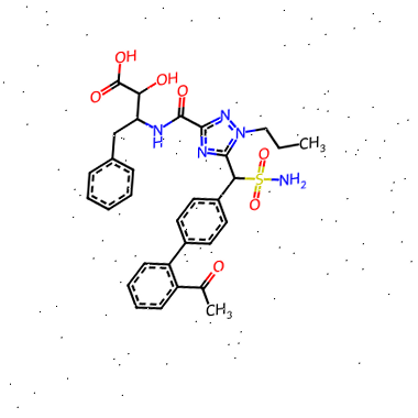 CCCn1nc(C(=O)NC(Cc2ccccc2)C(O)C(=O)O)nc1C(c1ccc(-c2ccccc2C(C)=O)cc1)S(N)(=O)=O